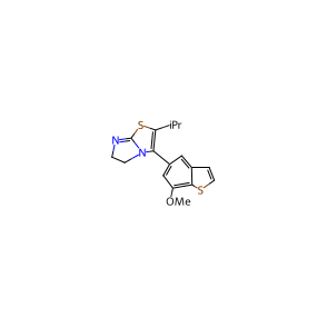 COc1cc(C2=C(C(C)C)SC3=NCCN32)cc2ccsc12